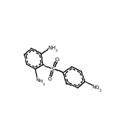 Nc1cccc(N)c1S(=O)(=O)c1ccc([N+](=O)[O-])cc1